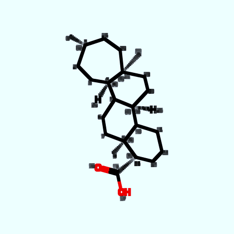 C[C@H]1CC[C@@H]2C3CC[C@@]4(C)C(CCC[C@@H]4C(=O)O)[C@@H]3CC[C@]2(C)CC1